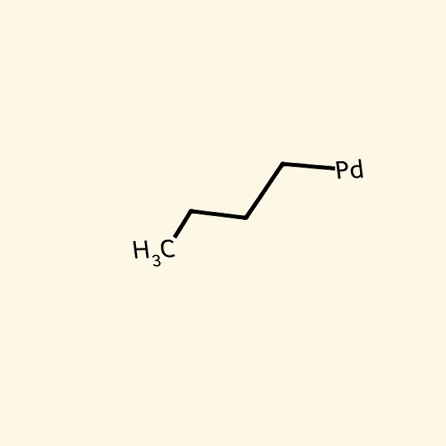 CCC[CH2][Pd]